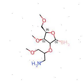 B[C@@H]1O[C@H](COC)[C@H](OC)C1OC(CN)COC